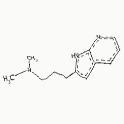 CN(C)CCCc1[c]c2cccnc2[nH]1